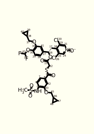 CS(=O)(=O)Nc1ccc(C(=O)SCC(=O)O[C@@H](Cc2c(Cl)c[n+]([O-])cc2Cl)c2ccc(OC(F)F)c(OCC3CC3)c2)cc1OCC1CC1